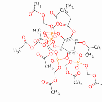 CCCC(=O)O[C@H]1[C@@H](OC(C)C)[C@H](OP(=O)(OCOC(C)=O)OCOC(C)=O)[C@@H](OP(=O)(OCOC(C)=O)OCOC(C)=O)[C@H](OP(=O)(OCOC(C)=O)OCOC(C)=O)[C@H]1OP(=O)(OCOC(C)=O)OCOC(C)=O